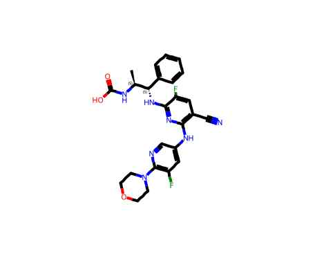 C[C@H](NC(=O)O)[C@@H](Nc1nc(Nc2cnc(N3CCOCC3)c(F)c2)c(C#N)cc1F)c1ccccc1